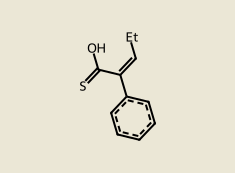 CCC=C(C(O)=S)c1ccccc1